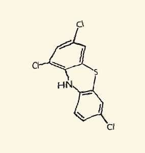 Clc1ccc2c(c1)Sc1cc(Cl)cc(Cl)c1N2